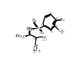 CCOC(=O)C(NS(=O)(=O)c1ccc(F)c(C)c1)C(C(F)(F)F)C(F)(F)F